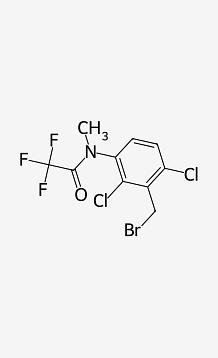 CN(C(=O)C(F)(F)F)c1ccc(Cl)c(CBr)c1Cl